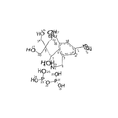 CC(C)(C)c1cc(CN)c(C(O)C(CO)(CO)CO)c(C(C)(C)C)c1.OP(O)OP(O)O